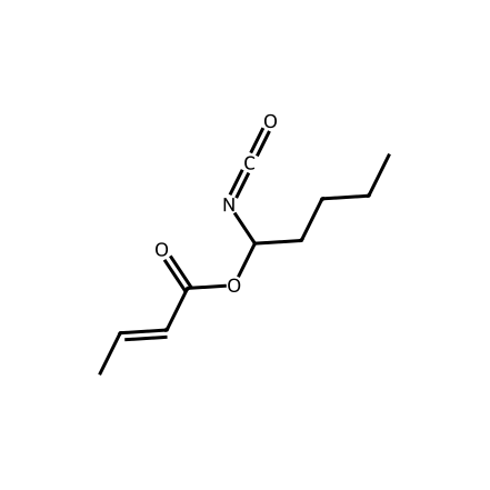 C/C=C/C(=O)OC(CCCC)N=C=O